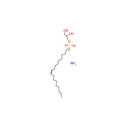 CCCCCCCC/C=C\CCCCCCCCOS(=O)(=O)OCC(O)CO.N